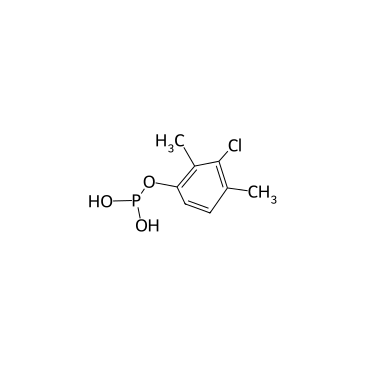 Cc1ccc(OP(O)O)c(C)c1Cl